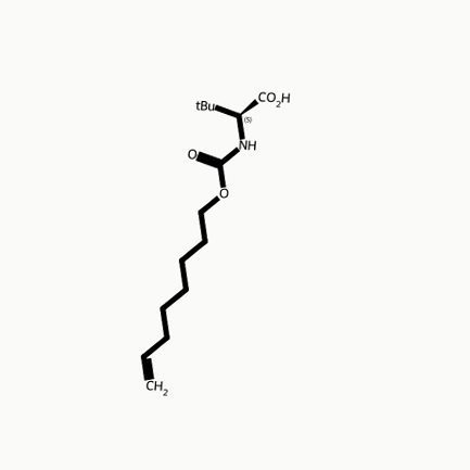 C=CCCCCCCOC(=O)N[C@H](C(=O)O)C(C)(C)C